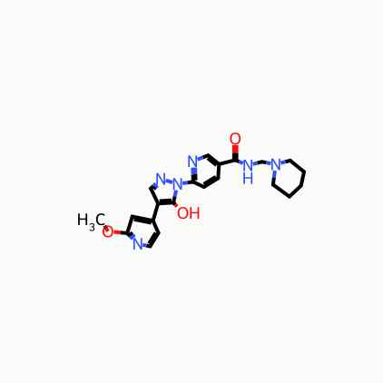 COc1cc(-c2cnn(-c3ccc(C(=O)NCN4CCCCC4)cn3)c2O)ccn1